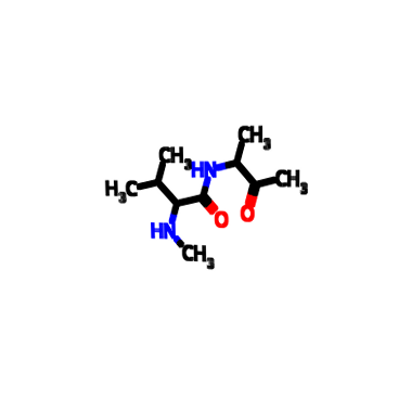 CNC(C(=O)NC(C)C(C)=O)C(C)C